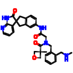 CNCc1ccccc1CN(CC(=O)Nc1ccc2c(c1)CC1(C2)C(=O)Nc2ncccc21)C(=O)C1(C)COC1